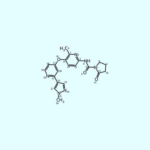 Cc1nc(NC(=O)N2CCCC2=O)ccc1Oc1ccnc(-c2cnn(C)c2)c1